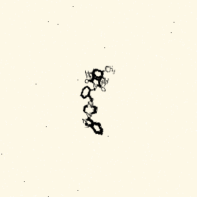 C[C@@H]1C[C@@H]2C[C@H]1[C@H]1C(=O)N(C[C@@H]3CCCCC3CN3CCN(c4nsc5ccccc45)CC3)C(=O)[C@@H]21